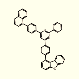 c1ccc(-c2nc(-c3ccc(-c4cccc5ccccc45)cc3)cc(-c3ccc(-c4cccc5oc6ccccc6c45)cc3)n2)cc1